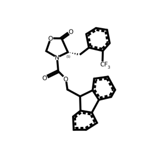 O=C1OCN(C(=O)OCC2c3ccccc3-c3ccccc32)[C@H]1Cc1ccccc1C(F)(F)F